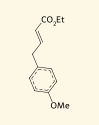 CCOC(=O)/C=C/Cc1ccc(OC)cc1